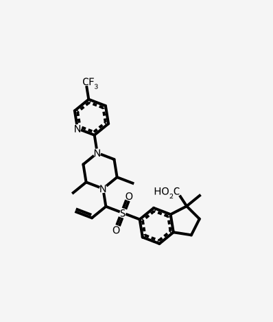 C=CC(N1C(C)CN(c2ccc(C(F)(F)F)cn2)CC1C)S(=O)(=O)c1ccc2c(c1)C(C)(C(=O)O)CC2